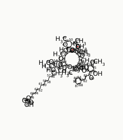 CCC(=O)OC1C(OC2C(C)C(OC3CC(C)(OC)C(O)C(C)O3)C(C)C(=O)OC(CC)C(C)(O)C(O)C(C)C(=O)C(C)CC2(C)O)OC(C)CC1N(C)C.CCCCCCCCCCCCOS(=O)(=O)O.COc1cc(O)c(C(=O)C=Cc2ccccc2)c(OC)c1